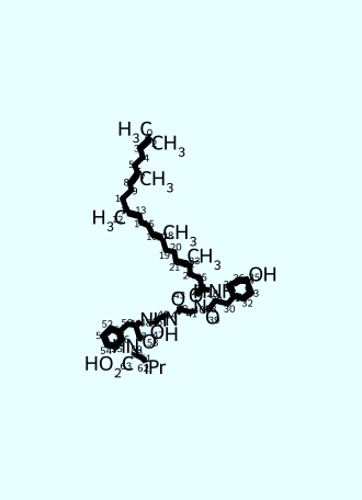 CC(C)=CCC/C(C)=C/CC/C(C)=C/CC/C=C(\C)CC/C=C(\C)CCC(=O)NC(Cc1ccc(O)cc1)C(=O)NCC(=O)NCC(=O)NC(Cc1ccccc1)C(=O)NC(CC(C)C)C(=O)O